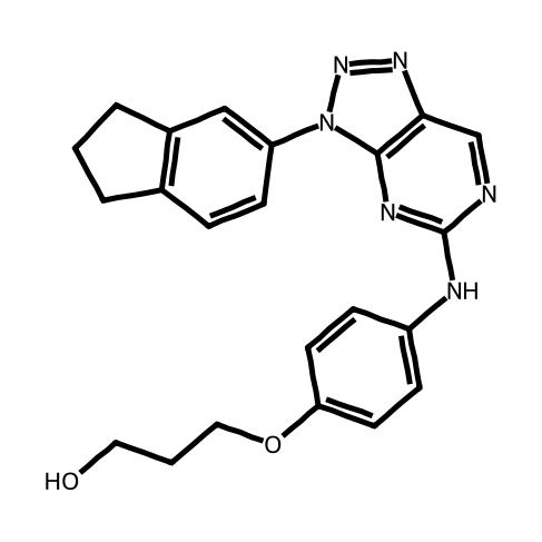 OCCCOc1ccc(Nc2ncc3nnn(-c4ccc5c(c4)CCC5)c3n2)cc1